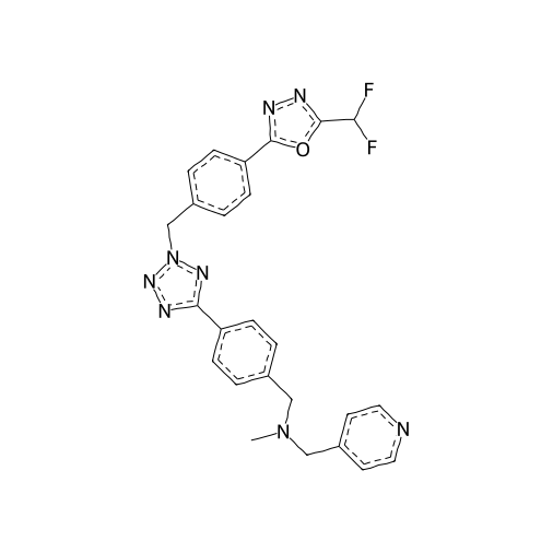 CN(Cc1ccncc1)Cc1ccc(-c2nnn(Cc3ccc(-c4nnc(C(F)F)o4)cc3)n2)cc1